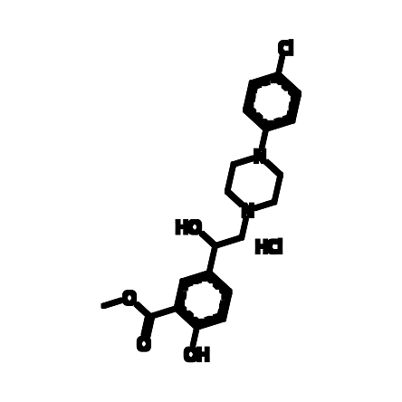 COC(=O)c1cc(C(O)CN2CCN(c3ccc(Cl)cc3)CC2)ccc1O.Cl